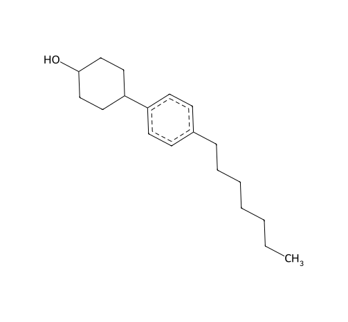 CCCCCCCc1ccc(C2CCC(O)CC2)cc1